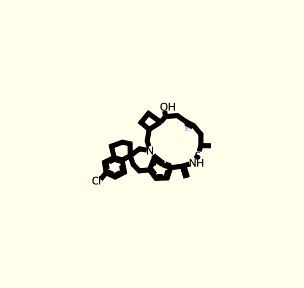 C=C1NSC(C)C/C=C/CC(O)C2CCC2CN2CC3(CCCc4cc(Cl)ccc43)CCc3ccc1cc32